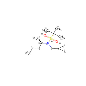 CCC[C@@H](C)N(CC1CC1)S(=O)(=O)C(C)(C)C